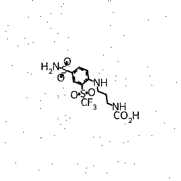 NS(=O)(=O)c1ccc(NCCCNC(=O)O)c(S(=O)(=O)C(F)(F)F)c1